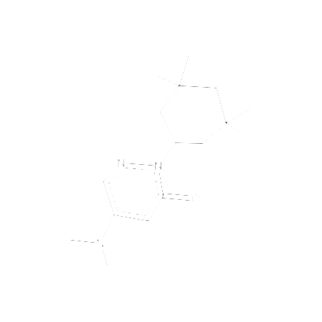 CN(C)c1cnn(C2CC(C)(C)CC(C)(C)C2)c(=O)c1